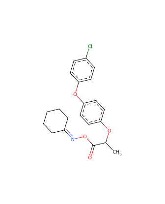 CC(Oc1ccc(Oc2ccc(Cl)cc2)cc1)C(=O)ON=C1CCCCC1